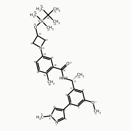 COc1cc(-c2cnn(C)c2)cc([C@@H](C)NC(=O)c2cc(N3CC(O[Si](C)(C)C(C)(C)C)C3)ccc2C)c1